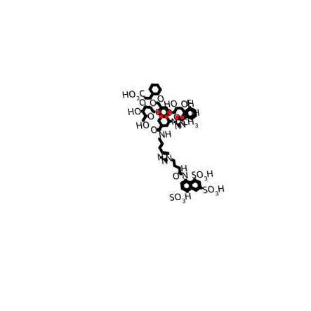 CC1OC(OC2C(OC3OC(CO)C(O)C(O[C@@H](CC4CCCCC4)C(=O)O)C3OC(=O)c3ccccc3)CC(C(=O)NCCCc3cn(CCCC(=O)Nc4ccc(S(=O)(=O)O)c5cc(S(=O)(=O)O)cc(S(=O)(=O)O)c45)nn3)CC2n2cc(-c3cccc(F)c3)nn2)C(O)C(O)C1O